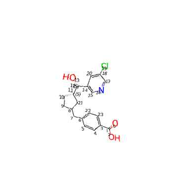 O=C(O)c1ccc(CC2CC[C@H]([C@H](O)c3cncc(Cl)c3)C2)cc1